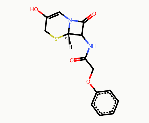 O=C(COc1ccccc1)NC1C(=O)N2C=C(O)CS[C@@H]12